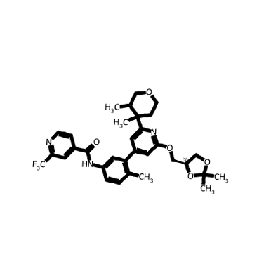 Cc1ccc(NC(=O)c2ccnc(C(F)(F)F)c2)cc1-c1cc(OC[C@H]2COC(C)(C)O2)nc(C2(C)CCOCC2C)c1